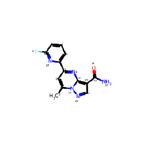 Cc1cc(-c2cccc(F)n2)nc2c(C(N)=O)cnn12